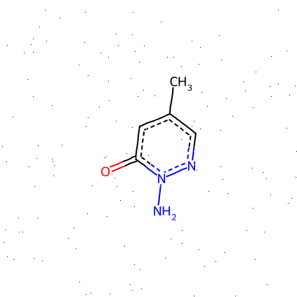 Cc1cnn(N)c(=O)c1